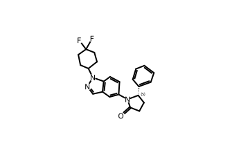 O=C1CC[C@@H](c2ccccc2)N1c1ccc2c(cnn2C2CCC(F)(F)CC2)c1